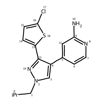 CC(C)Cn1cc(-c2ccnc(N)c2)c(-c2ccc(Cl)s2)n1